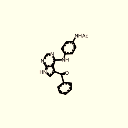 CC(=O)Nc1ccc(Nc2ncnc3[nH]cc(C(=O)c4ccccc4)c23)cc1